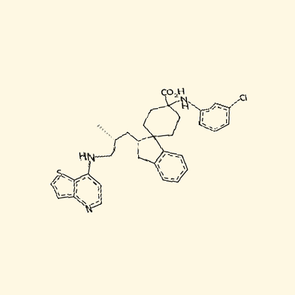 C[C@@H](CNc1ccnc2ccsc12)CC1Cc2ccccc2C12CCC(Nc1cccc(Cl)c1)(C(=O)O)CC2